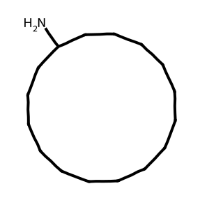 NC1CCCCCCCCCCCCCCC1